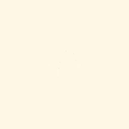 CC1COc2cccc(C(=O)O)c21